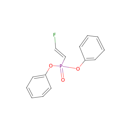 O=P(C=CF)(Oc1ccccc1)Oc1ccccc1